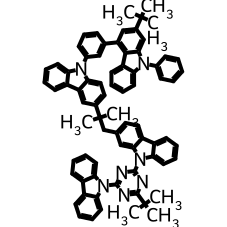 CC(C)(C)c1cc(-c2cccc(-n3c4ccccc4c4cc(C(C)(C)Cc5ccc6c7ccccc7n(-c7nc(-n8c9ccccc9c9ccccc98)nc(C(C)(C)C)n7)c6c5)ccc43)c2)c2c3ccccc3n(-c3ccccc3)c2c1